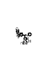 CCCCNc1ncc2c(-c3ccc([S+]([O-])N4CCOCC4)c(F)c3)cn(C3CCCCC3)c2n1